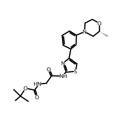 C[C@@H]1CN(c2cccc(-c3csc(NC(=O)CNC(=O)OC(C)(C)C)n3)c2)CCO1